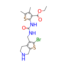 CCOC(=O)c1c(NC(=O)NCc2c(Br)sc3c2CCNC3)sc(C)c1C